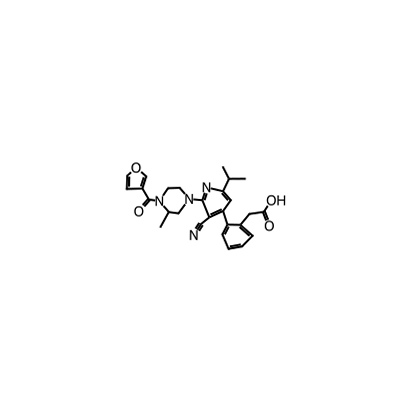 CC(C)c1cc(-c2ccccc2CC(=O)O)c(C#N)c(N2CCN(C(=O)c3ccoc3)C(C)C2)n1